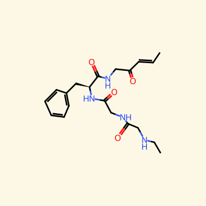 C/C=C/C(=O)CNC(=O)[C@H](Cc1ccccc1)NC(=O)CNC(=O)CNCC